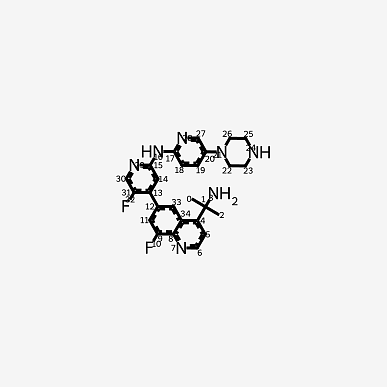 CC(C)(N)c1ccnc2c(F)cc(-c3cc(Nc4ccc(N5CCNCC5)cn4)ncc3F)cc12